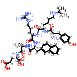 CC(C)NCCCC[C@H](NC(=O)[C@@H](N)Cc1ccc(O)cc1)C(=O)N[C@H](CCCNC(=N)N)C(=O)N[C@@H](Cc1ccc2ccccc2c1)C(=O)N[C@H](C)C(=O)N[C@H](CCC(=O)O)C(=O)O